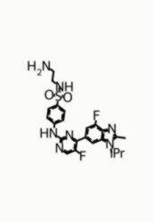 Cc1nc2c(F)cc(-c3nc(Nc4ccc(S(=O)(=O)NCCN)cc4)ncc3F)cc2n1C(C)C